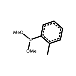 CON(OC)c1ccccc1C